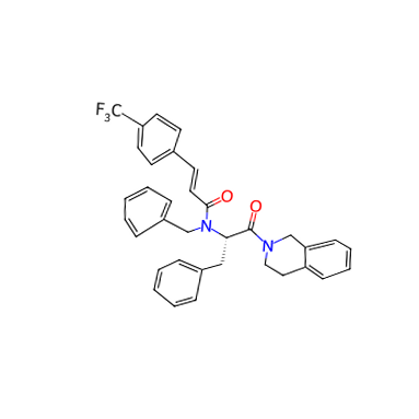 O=C([C@H](Cc1ccccc1)N(Cc1ccccc1)C(=O)C=Cc1ccc(C(F)(F)F)cc1)N1CCc2ccccc2C1